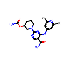 CC(C)c1cc(Nc2nc(N3CCCC(OC(N)=O)C3)ncc2C(N)=O)cc(C(C)C)n1